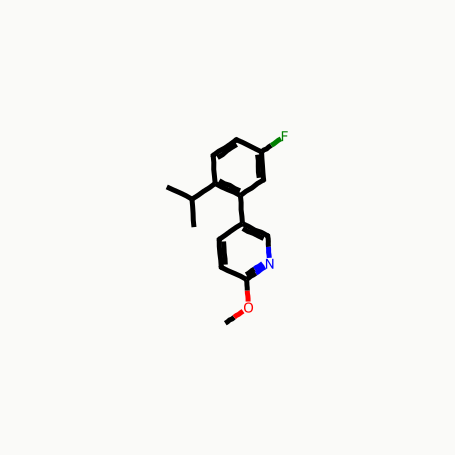 COc1ccc(-c2cc(F)ccc2C(C)C)cn1